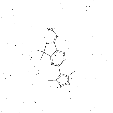 Cc1noc(C)c1-c1ccc2c(c1)C(C)(C)CC2=NO